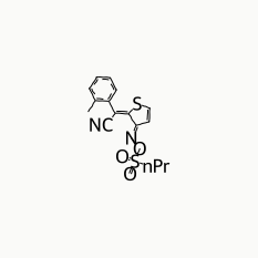 CCCS(=O)(=O)ON=C1C=CSC1=C(C#N)c1ccccc1C